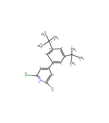 CC(C)(C)c1cc(-c2cc(Cl)nc(Cl)c2)cc(C(C)(C)C)c1